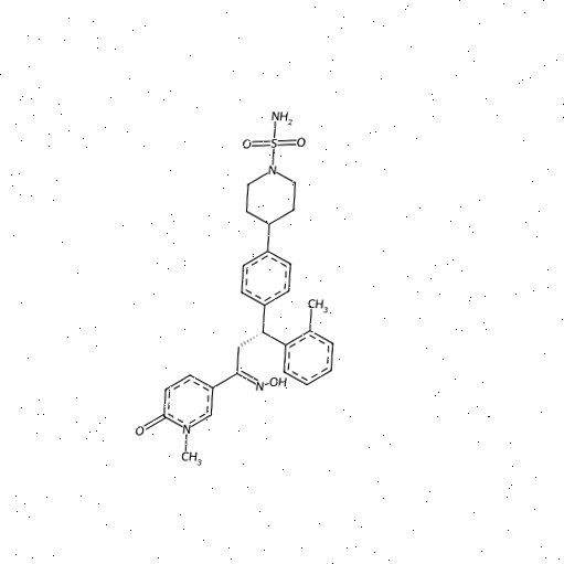 Cc1ccccc1[C@H](C/C(=N\O)c1ccc(=O)n(C)c1)c1ccc(C2CCN(S(N)(=O)=O)CC2)cc1